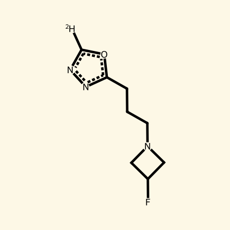 [2H]c1nnc(CCCN2CC(F)C2)o1